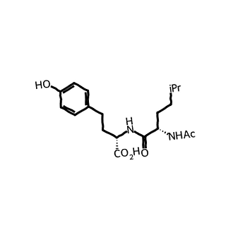 CC(=O)N[C@@H](CCC(C)C)C(=O)N[C@@H](CCc1ccc(O)cc1)C(=O)O